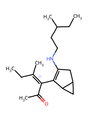 CC/C(C)=C(\C(C)=O)C1=C(NCCC(C)CC)CC2CC12